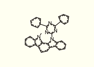 Cn1c2ccccc2c2ccc3c4ccccc4n(-c4nc(-c5ccccc5)nc(-c5ccccc5)n4)c3c21